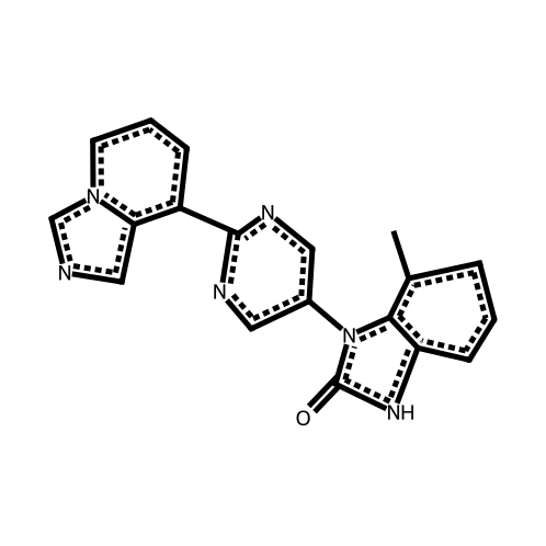 Cc1cccc2[nH]c(=O)n(-c3cnc(-c4cccn5cncc45)nc3)c12